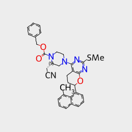 CSc1nc2c(c(N3CCN(C(=O)OCc4ccccc4)[C@@H](CC#N)C3)n1)CCC(c1cccc3cccc(C)c13)O2